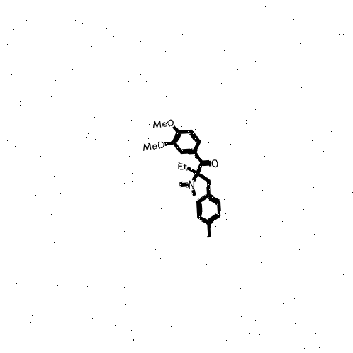 CCC(Cc1ccc(C)cc1)(C(=O)c1ccc(OC)c(OC)c1)N(C)C